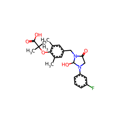 Cc1cc(CN2C(=O)CN(c3cccc(F)c3)C2O)cc(C)c1OC(C)(C)C(=O)O